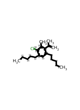 C=C(C)c1c(CCCCC)cc(CCCCC)c(Cl)c1C